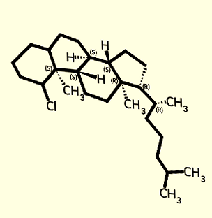 CC(C)CCC[C@@H](C)[C@H]1CC[C@H]2[C@@H]3CCC4CCCC(Cl)[C@]4(C)[C@H]3CC[C@]12C